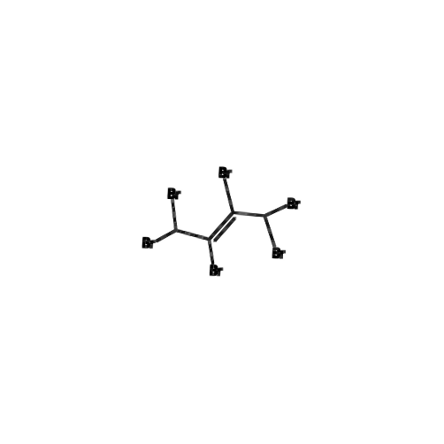 BrC(=C(Br)C(Br)Br)C(Br)Br